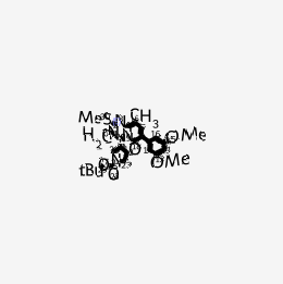 C=N/C(=N\c1c(C)cc(-c2cc(OC)cc(OC)c2)c(=O)n1C[C@@H]1CCN(C(=O)OC(C)(C)C)C1)SC